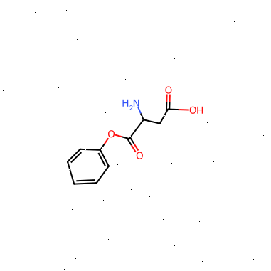 NC(CC(=O)O)C(=O)Oc1ccccc1